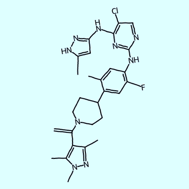 C=C(c1c(C)nn(C)c1C)N1CCC(c2cc(F)c(Nc3ncc(Cl)c(Nc4cc(C)[nH]n4)n3)cc2C)CC1